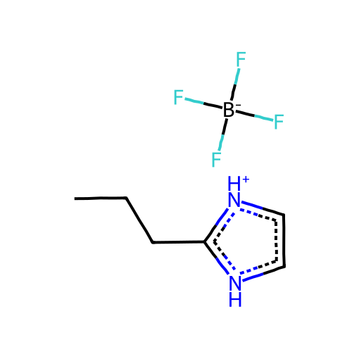 CCCc1[nH]cc[nH+]1.F[B-](F)(F)F